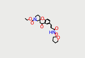 CCOC(=O)N1CCCC2(CC(=O)c3cc(C=CC(=O)NOC4CCCCO4)ccc3O2)C1